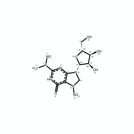 CN(N=O)c1nc2c(c(=O)[nH]1)N([N+](=O)[O-])CN2[C@@H]1O[C@H](CO)[C@@H](O)[C@H]1O